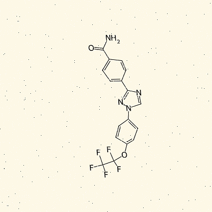 NC(=O)c1ccc(-c2ncn(-c3ccc(OC(F)(F)C(F)(F)F)cc3)n2)cc1